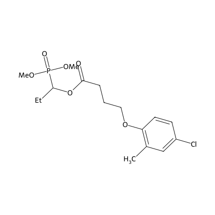 CCC(OC(=O)CCCOc1ccc(Cl)cc1C)P(=O)(OC)OC